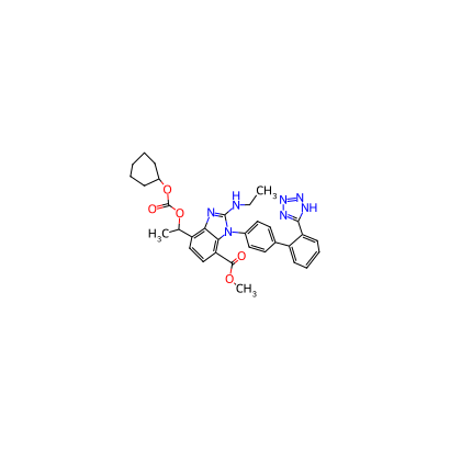 CCNc1nc2c(C(C)OC(=O)OC3CCCCC3)ccc(C(=O)OC)c2n1-c1ccc(-c2ccccc2-c2nnn[nH]2)cc1